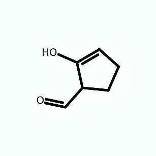 O=CC1CCC=C1O